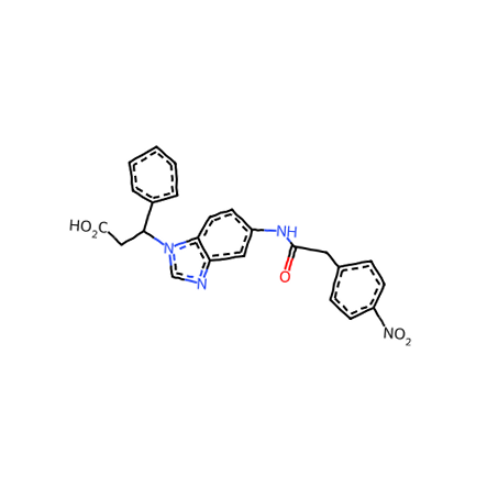 O=C(O)CC(c1ccccc1)n1cnc2cc(NC(=O)Cc3ccc([N+](=O)[O-])cc3)ccc21